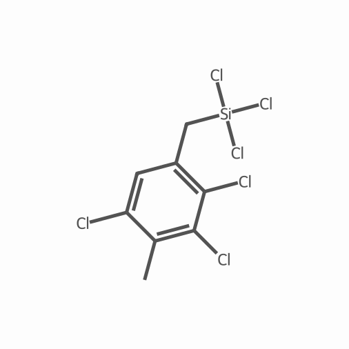 Cc1c(Cl)cc(C[Si](Cl)(Cl)Cl)c(Cl)c1Cl